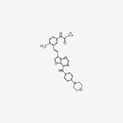 Cc1ccc(NC(=O)C2CC2)cc1C=Cc1csc2c(Nc3ccc(N4CCOCC4)cc3)ncnc12